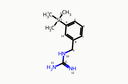 C[Si](C)(C)c1cccc(CNC(=N)N)c1